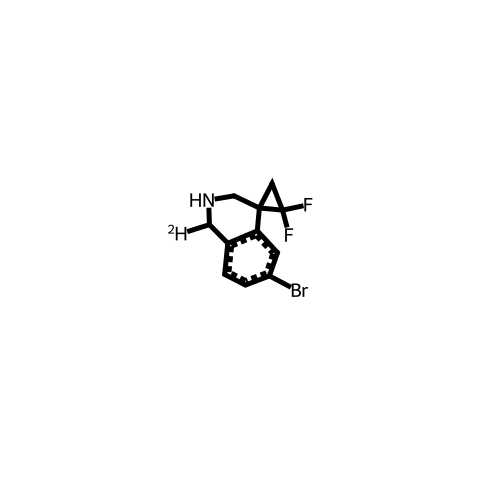 [2H]C1NCC2(CC2(F)F)c2cc(Br)ccc21